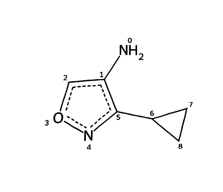 Nc1conc1C1CC1